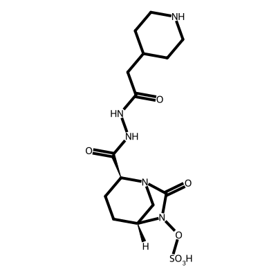 O=C(CC1CCNCC1)NNC(=O)[C@@H]1CC[C@@H]2CN1C(=O)N2OS(=O)(=O)O